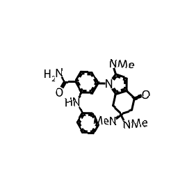 CNc1cc2c(n1-c1ccc(C(N)=O)c(Nc3ccccc3)c1)CC(NC)(NC)CC2=O